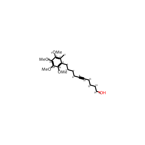 COc1c(C)c(CCCCC#CCCCCO)c(OC)c(OC)c1OC